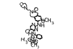 COc1cc2c(cc1Nc1ncc(Cl)c(Nc3ccccc3S(=O)(=O)N(C)C)n1)CCN(CCN1CCOCC1)C(=O)C2